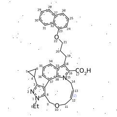 CCn1nc(C2CC2)c2c1COC/C=C\Cn1c(C(=O)O)c(CCCOc3cccc4ccccc34)c3cccc-2c31